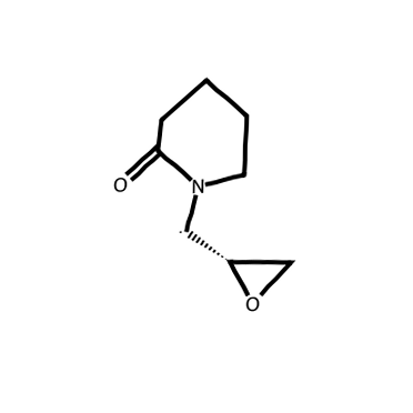 O=C1CCCCN1[CH][C@@H]1CO1